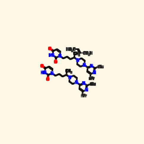 CCCc1cc(N2CCN(C(C)CCCn3ccc(=O)[nH]c3=O)CC2)nc(C(C)(C)C)n1.CCCc1cc(N2CCN(C(C)CCCn3ccc(=O)[nH]c3=O)CC2)nc(C(C)(C)C)n1.O=C(O)/C=C/C(=O)O